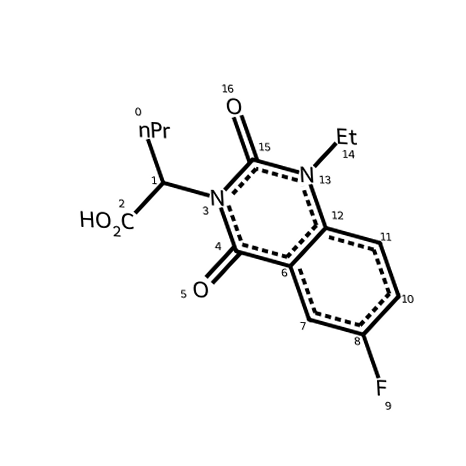 CCCC(C(=O)O)n1c(=O)c2cc(F)ccc2n(CC)c1=O